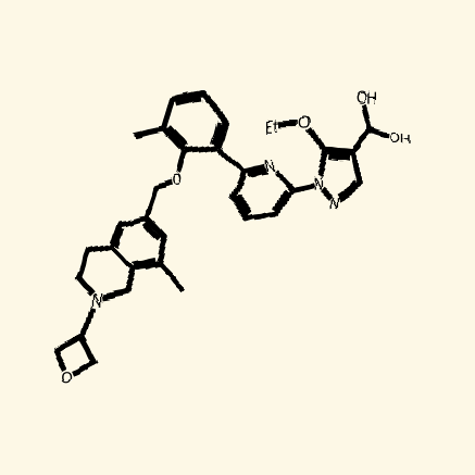 CCOc1c(C(O)O)cnn1-c1cccc(-c2cccc(C)c2OCc2cc(C)c3c(c2)CCN(C2COC2)C3)n1